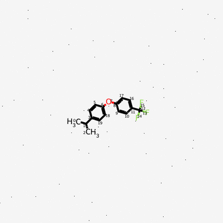 CC(C)c1ccc(Oc2ccc(C(F)(F)F)cc2)cc1